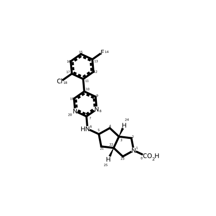 O=C(O)N1C[C@H]2CC(Nc3ncc(-c4cc(F)ccc4Cl)cn3)C[C@H]2C1